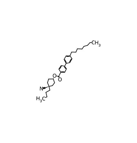 CCCCCCCCc1ccc(-c2ccc(C(=O)O[C@H]3CC[C@@](C#N)(CCCC)CC3)cc2)cc1